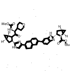 COC(=O)N[C@H](C(=O)C1[C@H](c2nc(-c3ccc4cc(-c5ccc6nc([C@@H]7C[C@H]8C[C@H]8N7C(=O)OC(C)(C)C)[nH]c6c5)ccc4c3)c[nH]2)C[C@H]2C[C@@H]12)C1CCOCC1